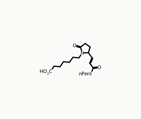 CCCCCC(=O)C=CC1CCC(=O)N1CCCCCCC(=O)O